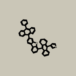 c1ccc(-c2c3ccccc3c(-c3ccc4c(c3)oc3c(-c5c6ccccc6c(-c6ccsc6)c6ccccc56)cccc34)c3ccccc23)cc1